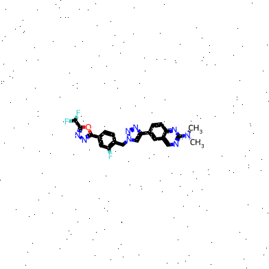 CN(C)c1ncc2cc(-c3cn(Cc4ccc(-c5nnc(C(F)F)o5)cc4F)nn3)ccc2n1